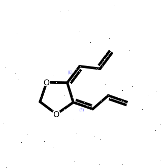 C=C/C=C1/OCO/C1=C/C=C